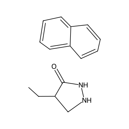 CCC1CNNC1=O.c1ccc2ccccc2c1